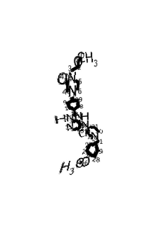 COCCN1CCN(c2ccc(-c3nc4c(NC5CCN(Cc6ccc(OC)cc6)CC5)c(Cl)cnc4[nH]3)cc2)CC1=O